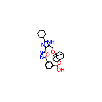 O=C(O)c1cccc(-c2nnc(-c3nc(C4CCCCC4)[nH]c3COC34CC5CC(CC(C5)C3)C4)o2)c1